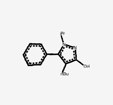 CCCCc1c(O)nn(C(C)C)c1-c1ccccc1